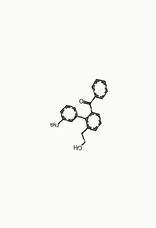 CC(C)(C)c1cccc(-c2c(CCO)cccc2C(=O)c2ccccc2)c1